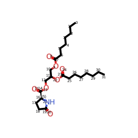 CCCCCCCC(=O)OCC(COC(=O)[C@@H]1CCC(=O)N1)OC(=O)CCCCCCC